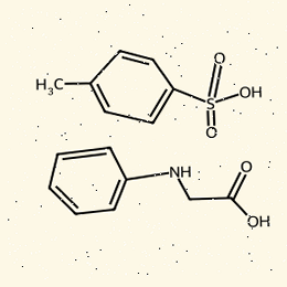 Cc1ccc(S(=O)(=O)O)cc1.O=C(O)CNc1ccccc1